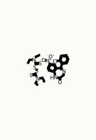 CCN(CC)C(=S)SSC(=S)N(CC)CC.O=C1CN=C(c2ccccc2Cl)c2cc([N+](=O)[O-])ccc2N1